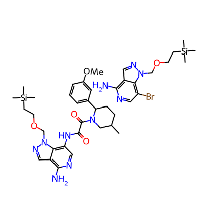 COc1cccc(C2CCC(C)CN2C(=O)C(=O)Nc2cnc(N)c3cnn(COCC[Si](C)(C)C)c23)c1.C[Si](C)(C)CCOCn1ncc2c(N)ncc(Br)c21